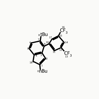 CCCCC1=Cc2c(ccc(C(C)(C)C)c2-c2cc(C(F)(F)F)cc(C(F)(F)F)c2)[CH]1